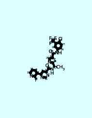 C[C@H](NC(=O)c1cc(-c2cccnc2F)ncn1)c1ncc(C(=O)Nc2ccc(Cl)c(C(F)(F)F)c2)s1